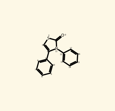 O=c1scc(-c2ccccc2)n1-c1ccccc1